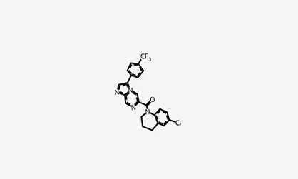 O=C(c1cn2c(-c3ccc(C(F)(F)F)cc3)cnc2cn1)N1CCCc2cc(Cl)ccc21